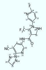 N#Cc1cc(NC(=O)C2=C(C(F)(F)F)N(c3ccc(F)nc3)NC2)cnc1-n1nccn1